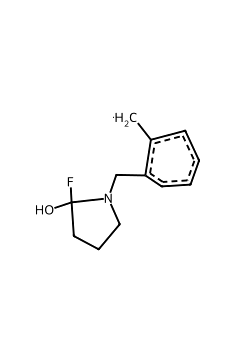 [CH2]c1ccccc1CN1CCCC1(O)F